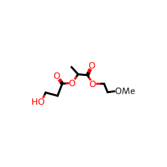 COCCOC(=O)C(C)OC(=O)CCO